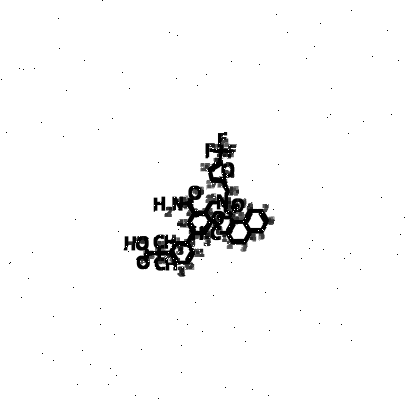 Cc1ccc2ccccc2c1S(=O)(=O)N(Cc1ccc(C(F)(F)F)o1)Cc1ccc(-c2cccc(C(C)(C)C(=O)O)c2)cc1C(N)=O